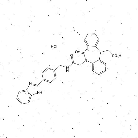 Cl.O=C(O)CC1c2ccccc2C(=O)N(CC(=O)NCc2ccc(-c3nc4ccccc4[nH]3)cc2)c2ccccc21